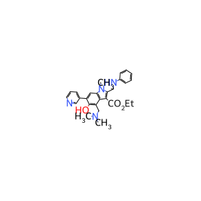 CCOC(=O)c1c(CNc2ccccc2)n(C)c2cc(-c3cccnc3)c(O)c(CN(C)C)c12